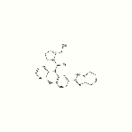 CCC(N1c2ccccc2Sc2ccc(C3=NC4CCCCC4N3)cc21)N1CCC[C@@H]1CO